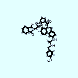 COc1ccc(CNC(=O)Nc2ccc(CN3C(=O)[C@H]4CCC[C@H]4N(C(=O)CN4C(=O)c5ccccc5C4=O)c4ccccc43)cc2)cc1